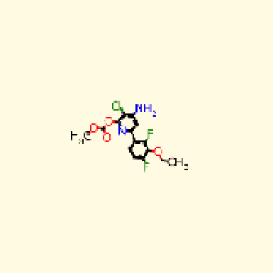 CCOc1c(F)ccc(-c2cc(N)c(Cl)c(OC(=O)OC)n2)c1F